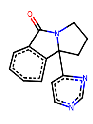 O=C1c2ccccc2C2(c3ccncn3)CCCN12